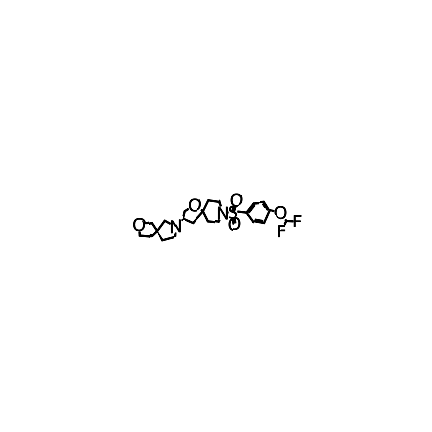 O=S(=O)(c1ccc(OC(F)F)cc1)N1CCC2(CC1)C[C@H](N1CC[C@]3(CCOC3)C1)CO2